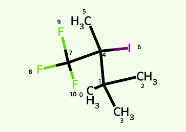 CC(C)(C)C(C)(I)C(F)(F)F